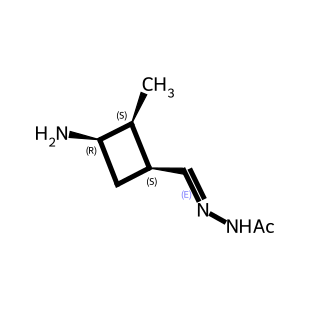 CC(=O)N/N=C/[C@H]1C[C@@H](N)[C@H]1C